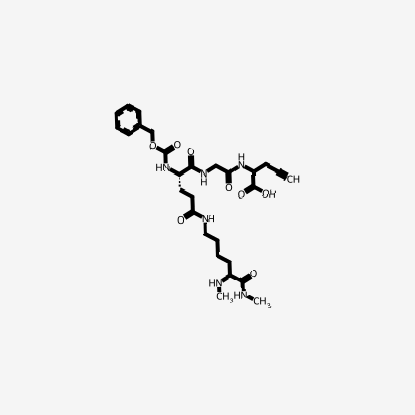 C#CCC(NC(=O)CNC(=O)[C@H](CCC(=O)NCCCCC(NC)C(=O)NC)NC(=O)OCc1ccccc1)C(=O)O